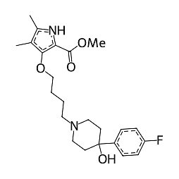 COC(=O)c1[nH]c(C)c(C)c1OCCCCN1CCC(O)(c2ccc(F)cc2)CC1